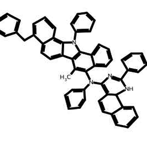 Cc1c(N(C2=C3C=Cc4ccccc4C3NC(c3ccccc3)=N2)c2ccccc2)c2ccccc2c2c1c1ccc3c(Cc4ccccc4)cccc3c1n2-c1ccccc1